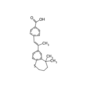 CC(=Cc1ccc(C(=O)O)cc1)c1ccc2c(c1)C(C)(C)CCCS2